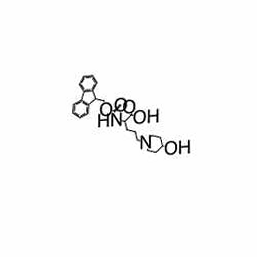 O=C(NC(CCCN1CCC(O)CC1)C(=O)O)OCC1c2ccccc2-c2ccccc21